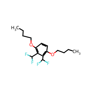 CCCCOc1ccc(OCCCC)c(C(F)F)c1C(F)F